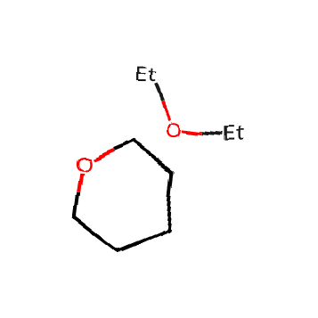 C1CCOCC1.CCOCC